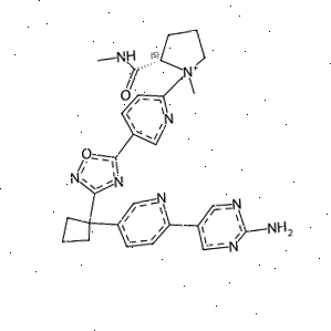 CNC(=O)[C@@H]1CCC[N+]1(C)c1ccc(-c2nc(C3(c4ccc(-c5cnc(N)nc5)nc4)CCC3)no2)cn1